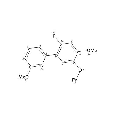 COc1cccc(-c2cc(OC(C)C)c(OC)cc2F)n1